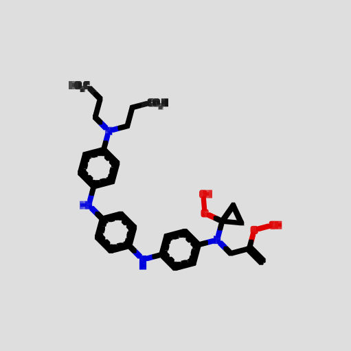 C=C(CN(c1ccc(Nc2ccc(Nc3ccc(N(CCC(=O)O)CCC(=O)O)cc3)cc2)cc1)C1(OO)CC1)OO